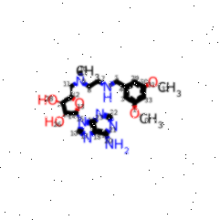 COc1cc(CNCCN(C)C[C@H]2O[C@@H](n3cnc4c(N)ncnc43)[C@H](O)[C@@H]2O)cc(OC)c1